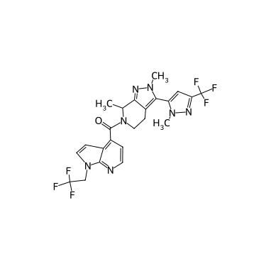 CC1c2nn(C)c(-c3cc(C(F)(F)F)nn3C)c2CCN1C(=O)c1ccnc2c1ccn2CC(F)(F)F